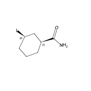 NC(=O)[C@H]1CCC[C@@H](I)C1